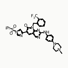 CC(C)S(=O)(=O)n1cnc(-c2cc3cnc(Nc4ccc(N5CCN(C)CC5)cc4)nc3n(Cc3ccccc3C(F)(F)F)c2=O)c1